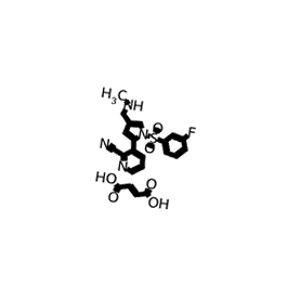 CNCc1cc(-c2cccnc2C#N)n(S(=O)(=O)c2cccc(F)c2)c1.O=C(O)/C=C/C(=O)O